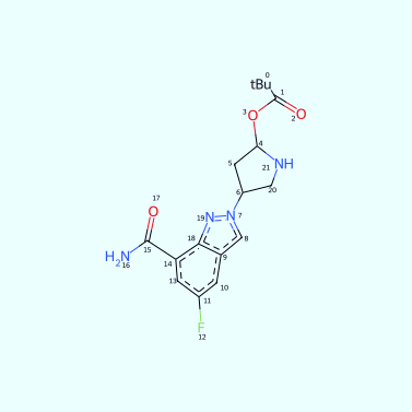 CC(C)(C)C(=O)OC1CC(n2cc3cc(F)cc(C(N)=O)c3n2)CN1